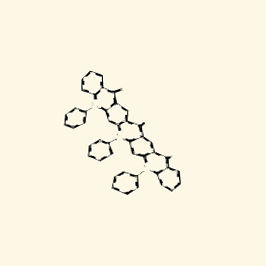 O=c1c2ccccc2n(-c2ccccc2)c2cc3c(cc12)c(=O)c1cc2c(=O)c4ccccc4n(-c4ccccc4)c2cc1n3-c1ccccc1